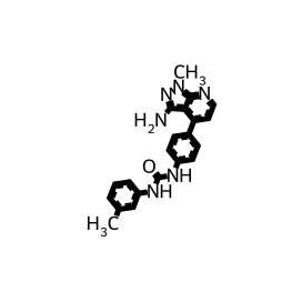 Cc1cccc(NC(=O)Nc2ccc(-c3ccnc4c3c(N)nn4C)cc2)c1